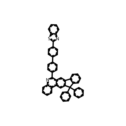 c1ccc(C2(c3ccccc3)c3ccccc3-c3cc4c(-c5ccc(-c6ccc(-c7nc8ccccc8s7)cc6)cc5)nc5ccccc5c4cc32)cc1